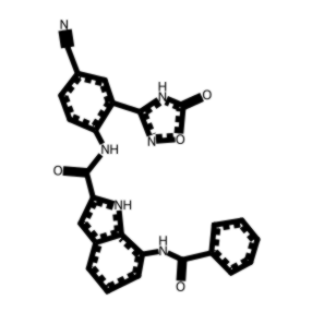 N#Cc1ccc(NC(=O)c2cc3cccc(NC(=O)c4ccccc4)c3[nH]2)c(-c2noc(=O)[nH]2)c1